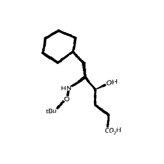 CC(C)(C)ONC(CC1CCCCC1)[C@@H](O)CCC(=O)O